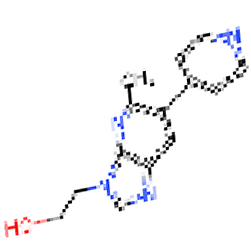 Cc1nc2c(cc1-c1ccncc1)ncn2CCO